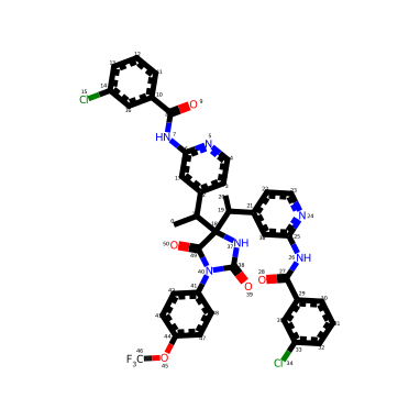 CC(c1ccnc(NC(=O)c2cccc(Cl)c2)c1)C1(C(C)c2ccnc(NC(=O)c3cccc(Cl)c3)c2)NC(=O)N(c2ccc(OC(F)(F)F)cc2)C1=O